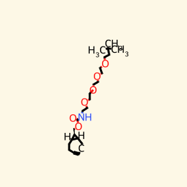 CC(C)(C)CCOCCOCCOCCOCCNC(=O)OC[C@@H]1[C@@H]2CCC#CCC[C@@H]21